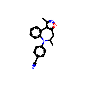 Cc1noc2c1-c1ccccc1N(c1ccc(C#N)cc1)C(C)C2